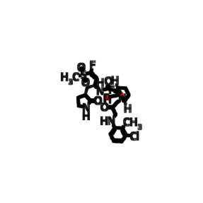 Cc1c(Cl)cccc1NCC(=O)N1[C@H]2CC[C@@H]([C@@H]1C(=O)N[C@H](/C=C(/F)S(C)(=O)=O)C[C@@H]1CCNC1=O)C(F)(F)C2